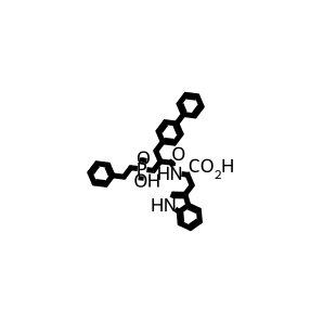 O=C(N[C@@H](Cc1c[nH]c2ccccc12)C(=O)O)C(Cc1ccc(-c2ccccc2)cc1)CP(=O)(O)CCc1ccccc1